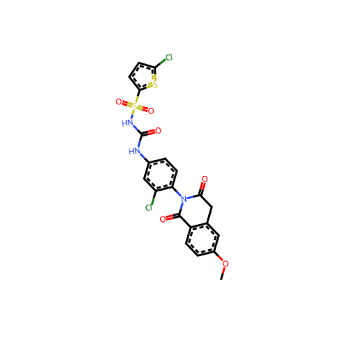 COc1ccc2c(c1)CC(=O)N(c1ccc(NC(=O)NS(=O)(=O)c3ccc(Cl)s3)cc1Cl)C2=O